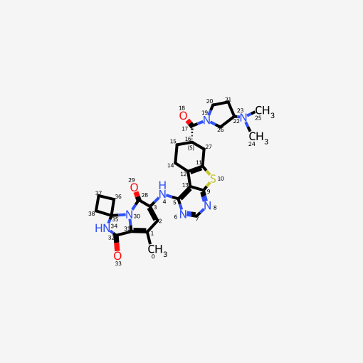 Cc1cc(Nc2ncnc3sc4c(c23)CC[C@H](C(=O)N2CCC(N(C)C)C2)C4)c(=O)n2c1C(=O)NC21CCC1